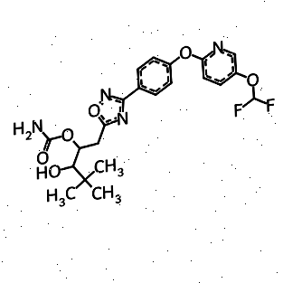 CC(C)(C)C(O)C(Cc1nc(-c2ccc(Oc3ccc(OC(F)F)cn3)cc2)no1)OC(N)=O